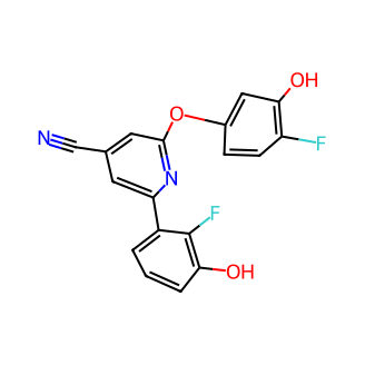 N#Cc1cc(Oc2ccc(F)c(O)c2)nc(-c2cccc(O)c2F)c1